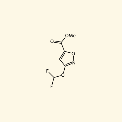 COC(=O)c1cc(OC(F)F)no1